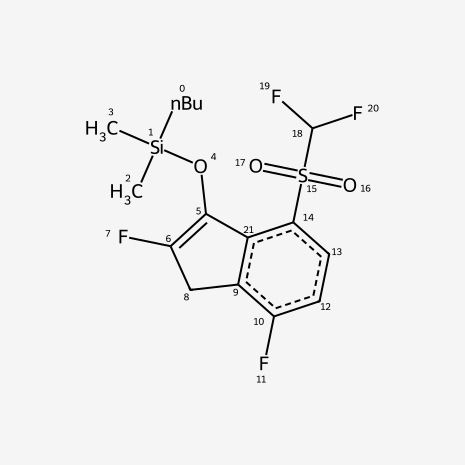 CCCC[Si](C)(C)OC1=C(F)Cc2c(F)ccc(S(=O)(=O)C(F)F)c21